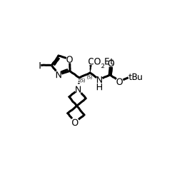 CCOC(=O)[C@@H](NC(=O)OC(C)(C)C)[C@@H](c1nc(I)co1)N1CC2(COC2)C1